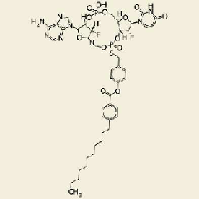 CCCCCCCCCCCc1ccc(C(=O)Oc2ccc(CSP3(=O)OC[C@H]4O[C@@H](n5cnc6c(N)ncnc65)[C@H](OP(=O)(O)OC[C@H]5O[C@@H](n6ccc(=O)[nH]c6=O)[C@H](F)[C@@H]5O3)[C@@H]4F)cc2)cc1